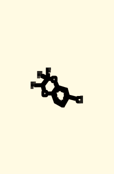 FC1Oc2ccc(Cl)cc2OC1(F)F